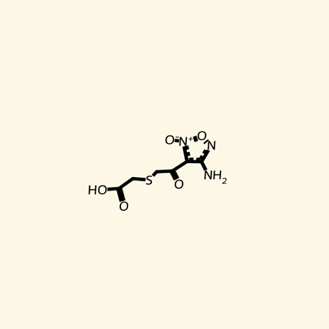 Nc1no[n+]([O-])c1C(=O)CSCC(=O)O